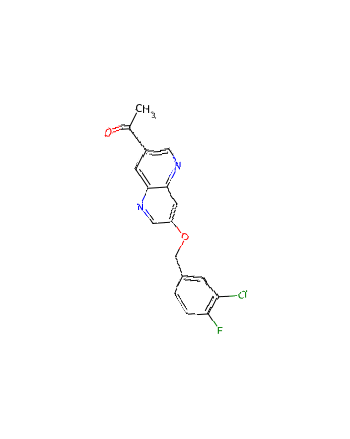 CC(=O)c1cnc2cc(OCc3ccc(F)c(Cl)c3)cnc2c1